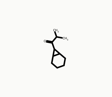 CC(C)C(=O)C1C2CCCCC21